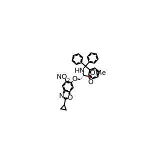 COC(=O)[C@H](COc1cc2oc(C3CC3)nc2cc1[N+](=O)[O-])NC(c1ccccc1)(c1ccccc1)c1ccccc1